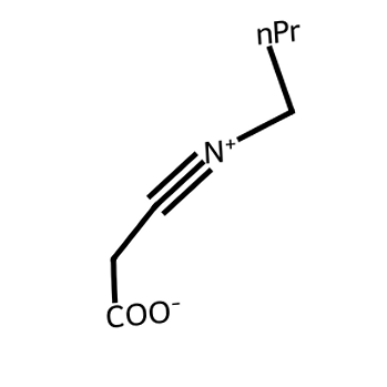 CCCC[N+]#CCC(=O)[O-]